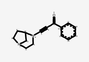 O=C(C#CN1CCN2CCC1C2)c1ccccc1